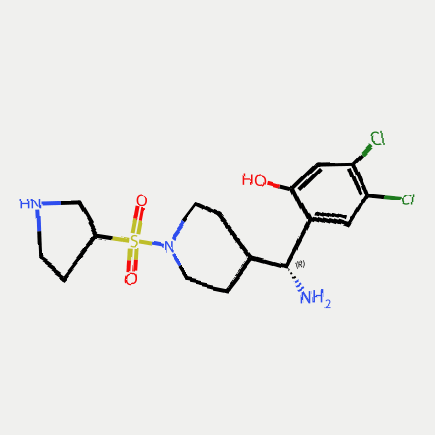 N[C@@H](c1cc(Cl)c(Cl)cc1O)C1CCN(S(=O)(=O)C2CCNC2)CC1